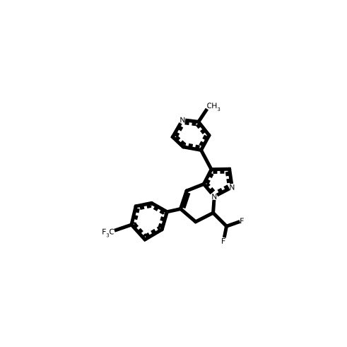 Cc1cc(-c2cnn3c2C=C(c2ccc(C(F)(F)F)cc2)CC3C(F)F)ccn1